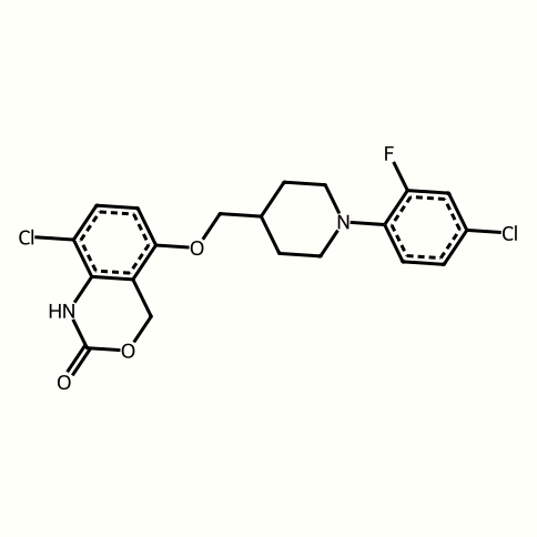 O=C1Nc2c(Cl)ccc(OCC3CCN(c4ccc(Cl)cc4F)CC3)c2CO1